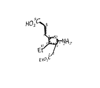 CCOC(=O)Cc1c(N)sc(C=CC(=O)O)c1CC